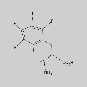 NNC(Cc1c(F)c(F)c(F)c(F)c1F)C(=O)O